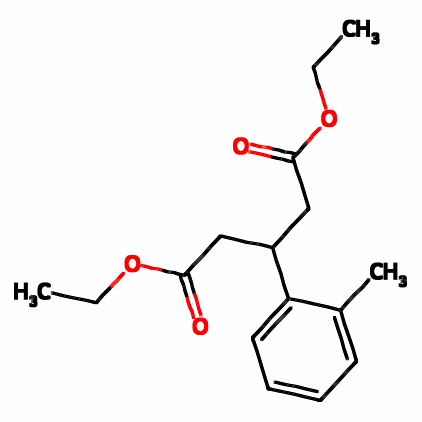 CCOC(=O)CC(CC(=O)OCC)c1ccccc1C